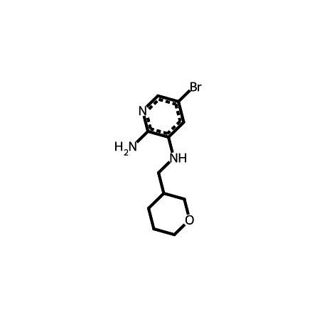 Nc1ncc(Br)cc1NCC1CCCOC1